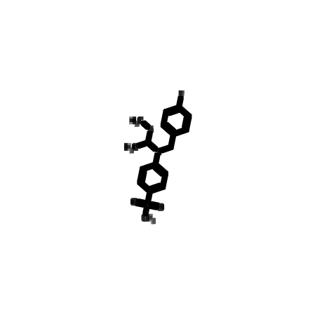 CSC(C)N(Cc1ccc(F)cc1)c1ccc(S(C)(=O)=O)cc1